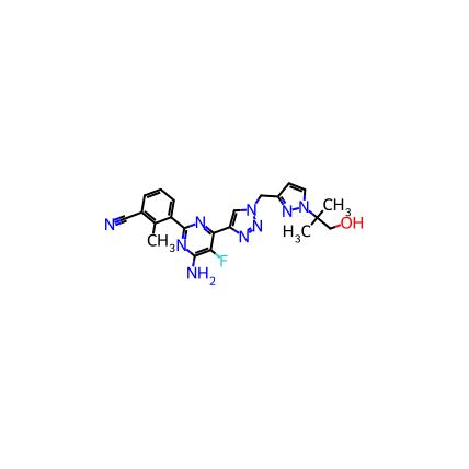 Cc1c(C#N)cccc1-c1nc(N)c(F)c(-c2cn(Cc3ccn(C(C)(C)CO)n3)nn2)n1